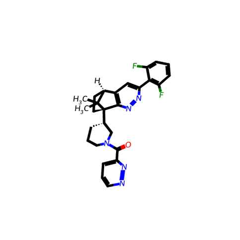 CC1(C)[C@H]2CC[C@]1([C@H]1CCCN(C(=O)c3cccnn3)C1)c1nnc(-c3c(F)cccc3F)cc12